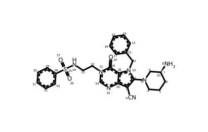 N#Cc1c(N2CCC[C@H](N)C2)n(Cc2ccccc2)c2c(=O)n(CCNS(=O)(=O)c3ccccc3)cnc12